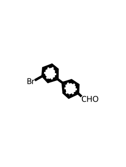 O=Cc1ccc(-c2cccc(Br)c2)cc1